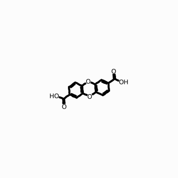 O=C(O)c1ccc2c(c1)Oc1ccc(C(=O)O)cc1O2